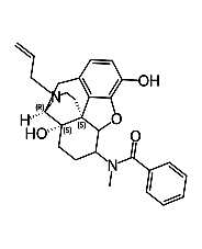 C=CCN1CC[C@]23c4c5ccc(O)c4OC2C(N(C)C(=O)c2ccccc2)CC[C@@]3(O)[C@H]1C5